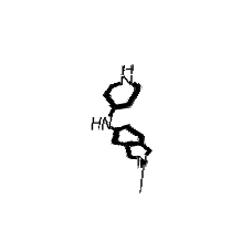 IN1Cc2ccc(NC3CCNCC3)cc2C1